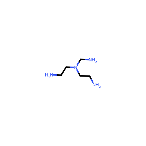 NCCN(CN)CCN